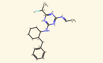 CC=Nc1nc(NC2CCCCC2Cc2ccccc2)nc(C(C)F)n1